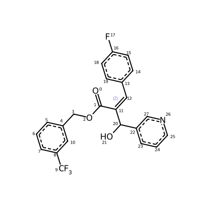 O=C(OCc1cccc(C(F)(F)F)c1)/C(=C\c1ccc(F)cc1)C(O)c1cccnc1